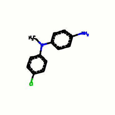 CN(c1ccc(N)cc1)c1ccc(Cl)cc1